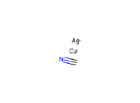 C#N.[Ag].[Cu]